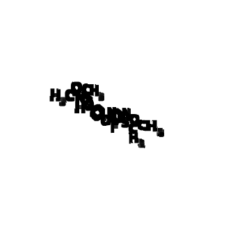 CC(=O)N[C@@H](C)CO[C@H]1CC[C@H](Oc2ncc3nc(OC(C)C)sc3c2F)CC1